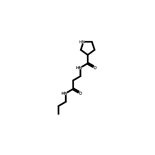 CCCNC(=O)CCNC(=O)C1CCNC1